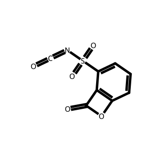 O=C=NS(=O)(=O)c1cccc2c1C(=O)O2